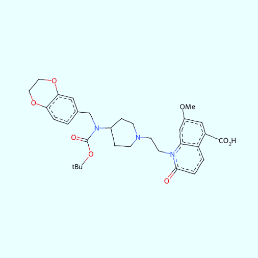 COc1cc(C(=O)O)c2ccc(=O)n(CCN3CCC(N(Cc4ccc5c(c4)OCCO5)C(=O)OC(C)(C)C)CC3)c2c1